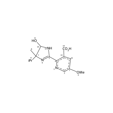 COc1cnc(C2=NC(C)(C(C)C)C(O)N2)c(C(=O)O)c1